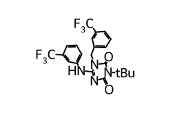 CC(C)(C)n1c(=O)nc(Nc2cccc(C(F)(F)F)c2)n(Cc2cccc(C(F)(F)F)c2)c1=O